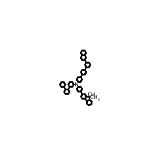 CC1(C)c2ccccc2-c2ccc(-c3ccc(N(c4ccc(-c5ccc(-c6cccc(-c7ccc8ccccc8c7)c6)cc5)cc4)c4cccc(-c5ccccc5-c5ccccc5)c4)cc3)cc21